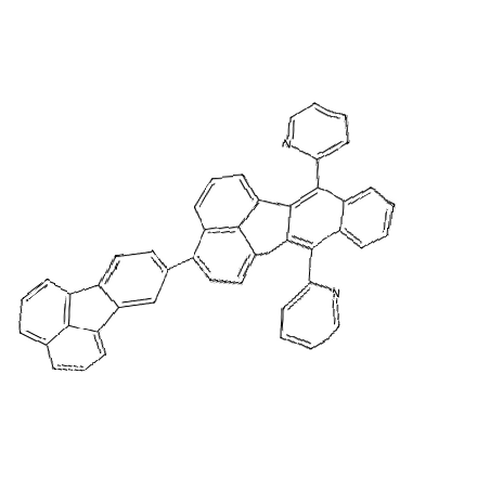 c1ccc(-c2c3c(c(-c4ccccn4)c4ccccc24)-c2ccc(-c4ccc5c(c4)-c4cccc6cccc-5c46)c4cccc-3c24)nc1